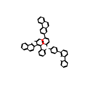 c1ccc(N(c2ccc(-c3ccc4c(ccc5ccccc54)c3)cc2)c2ccc(-c3cccc4c3oc3ccccc34)cc2)c(-c2cccc3oc4c5ccccc5ccc4c23)c1